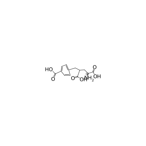 N[C@@H](CC(Cc1ccc(C(=O)O)cc1)C(=O)O)C(=O)O